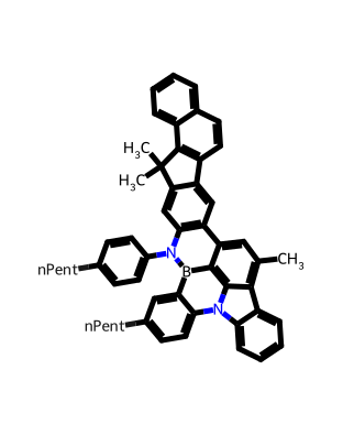 CCCCCc1ccc(N2B3c4cc(CCCCC)ccc4-n4c5ccccc5c5c(C)cc(c3c54)-c3cc4c(cc32)C(C)(C)c2c-4ccc3ccccc23)cc1